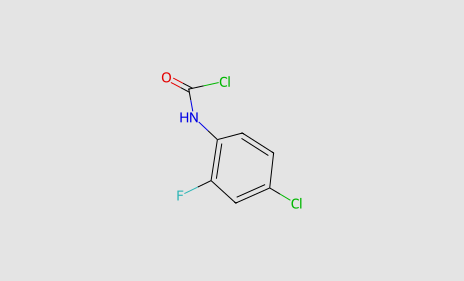 O=C(Cl)Nc1ccc(Cl)cc1F